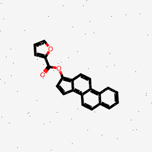 O=C(OC1=c2ccc3c4c(ccc3c2C=C1)=CC=CC4)c1ccco1